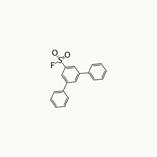 O=S(=O)(F)c1cc(-c2ccccc2)cc(-c2ccccc2)c1